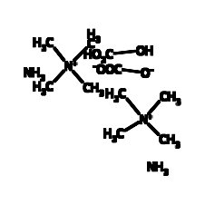 C[N+](C)(C)C.C[N+](C)(C)C.N.N.O=C(O)O.O=C([O-])[O-]